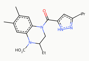 CCC1CN(C(=O)c2cc(C(C)C)n[nH]2)c2cc(C)c(C)cc2N1C(=O)O